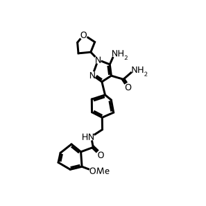 COc1ccccc1C(=O)NCc1ccc(-c2nn(C3CCOC3)c(N)c2C(N)=O)cc1